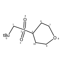 CC(C)(C)CS(=O)(=O)C1CCOCC1